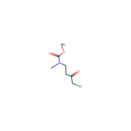 CN(CCC(=O)CBr)C(=O)OC(C)(C)C